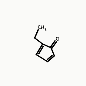 CCC1=CC=CC1=O